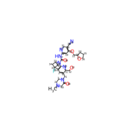 CN1CCN(Cc2cc3c(nc2C=O)N(C(=O)Nc2cc(OCC4CCCO4)c(C#N)cn2)C2CC3(F)C2)C(=O)C1